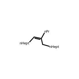 CCCCCCCC=C(CCC)CCCCCCCC